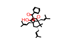 CC(C)=CC[C@@H]1C[C@@]2(CC=C(C)C)C(=O)[C@](CC=C(C)C)(C(=O)C(C(=O)c3ccccc3)=C2O)C1(C)C